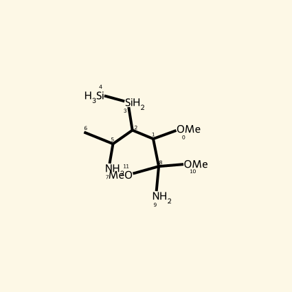 COC(C([SiH2][SiH3])C(C)N)C(N)(OC)OC